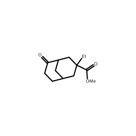 CCC1(C(=O)OC)CC2CCC(=O)C(C2)C1